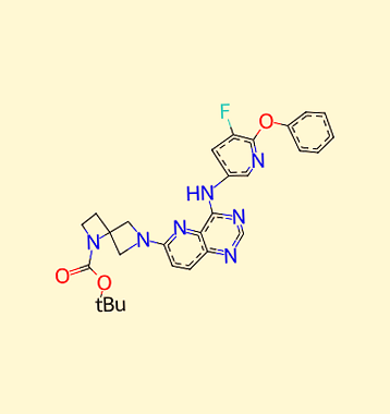 CC(C)(C)OC(=O)N1CCC12CN(c1ccc3ncnc(Nc4cnc(Oc5ccccc5)c(F)c4)c3n1)C2